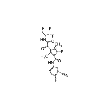 Cc1c(C(=O)Nc2ccc(F)c(C#N)c2)c(F)n(C)c1C(=O)C(=O)NC(CF)C(F)F